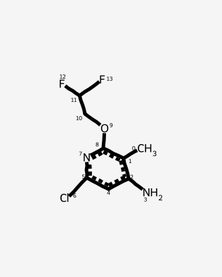 Cc1c(N)cc(Cl)nc1OCC(F)F